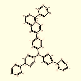 c1ccc(-c2ccc(N(c3ccc(-c4ccccc4)cc3)c3ccc(-c4ccc5c(-c6ccccc6)cccc5c4)cc3)cc2)cc1